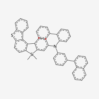 C[Si]1(C)c2cc(N(c3cccc(-c4cccc5ccccc45)c3)c3ccccc3-c3ccccc3)ccc2-c2c1ccc1sc3ccccc3c21